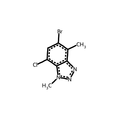 Cc1c(Br)cc(Cl)c2c1nnn2C